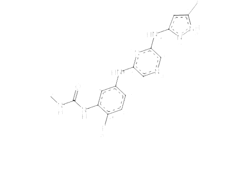 CNC(=O)Nc1cc(Nc2cncc(Nc3cc(C)[nH]n3)n2)ccc1F